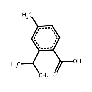 Cc1ccc(C(=O)O)c(C(C)C)c1